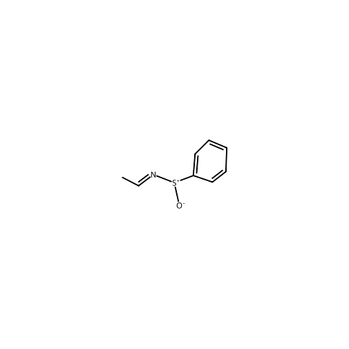 CC=N[S+]([O-])c1ccccc1